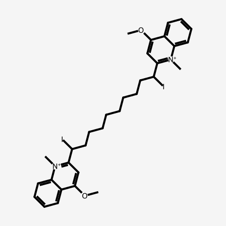 COc1cc(C(I)CCCCCCCCC(I)c2cc(OC)c3ccccc3[n+]2C)[n+](C)c2ccccc12